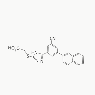 N#Cc1cc(-c2ccc3ccccc3c2)cc(-c2nnc(SCC(=O)O)[nH]2)c1